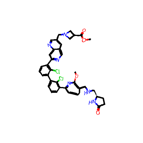 COC(=O)C1CN(Cc2cnc3cc(-c4cccc(-c5cccc(-c6ccc(CNC[C@H]7CCC(=O)N7)c(OC)n6)c5Cl)c4Cl)ncc3c2)C1